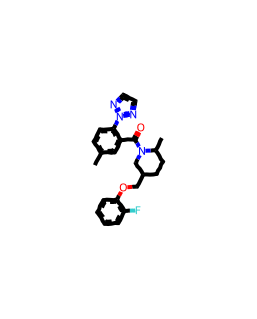 Cc1ccc(-n2nccn2)c(C(=O)N2CC(COc3ccccc3F)CCC2C)c1